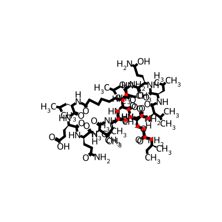 CCCCCCCCCC(=O)N[C@@H](CC(C)C)C(=O)N[C@H](CCC(=O)O)C(=O)N[C@H](CCC(N)=O)C(=O)N[C@@H](C(=O)N[C@H](CC(C)C)C(=O)N[C@H](CCC(N)=O)C(=O)N[C@H](COC(=O)C[C@@H](C)CC)C(=O)N[C@@H](C(=O)N[C@H](CC(C)C)C(=O)N[C@H](CCC(N)O)C(=O)N[C@@H](CC(C)C)C(=O)N[C@@H](CC(C)C)C(=O)N[C@H](CCC(N)=O)C(N)=O)C(C)C)C(C)C